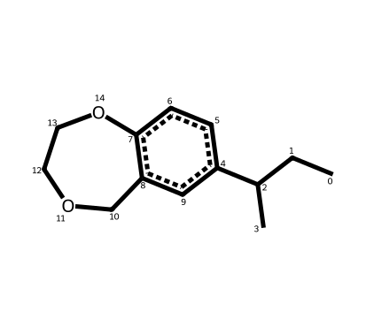 CCC(C)c1ccc2c(c1)COCCO2